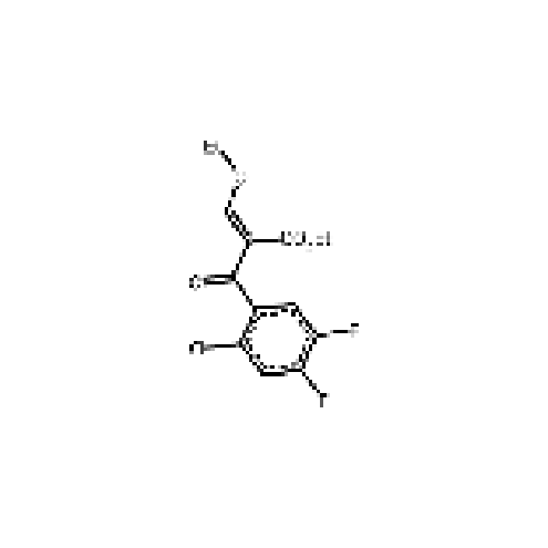 CCO/C=C(\C(=O)OCC)C(=O)c1cc(F)c(F)cc1Cl